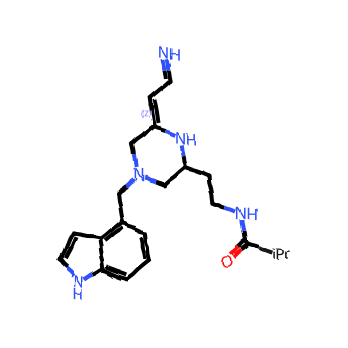 CC(C)C(=O)NCCC1CN(Cc2cccc3[nH]ccc23)C/C(=C/C=N)N1